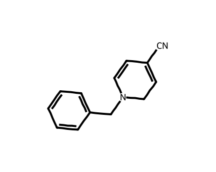 N#CC1=CCN(Cc2ccccc2)C=C1